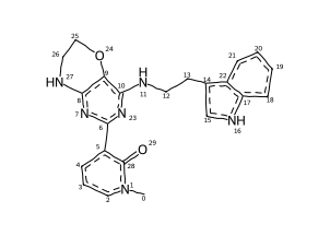 Cn1cccc(-c2nc3c(c(NCCc4c[nH]c5ccccc45)n2)OCCN3)c1=O